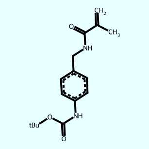 C=C(C)C(=O)NCc1ccc(NC(=O)OC(C)(C)C)cc1